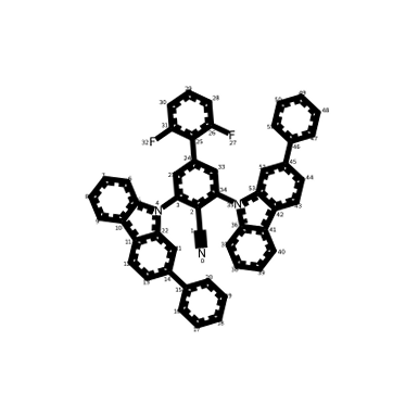 N#Cc1c(-n2c3ccccc3c3ccc(-c4ccccc4)cc32)cc(-c2c(F)cccc2F)cc1-n1c2ccccc2c2ccc(-c3ccccc3)cc21